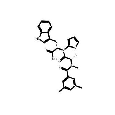 Cc1cc(C)cc(C(=O)N(C)[C@@H](C)C(=O)N(c2cccs2)[C@@H](Cc2c[nH]c3ccccc23)C(=O)O)c1